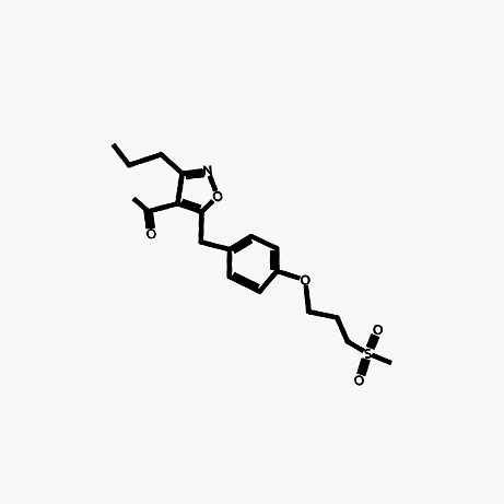 CCCc1noc(Cc2ccc(OCCCS(C)(=O)=O)cc2)c1C(C)=O